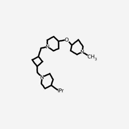 CC(C)C1CCN(CC2CC(CN3CCC(OC4CCN(C)CC4)CC3)C2)CC1